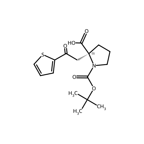 CC(C)(C)OC(=O)N1CCC[C@]1(CC(=O)c1cccs1)C(=O)O